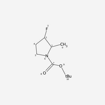 CC1C(F)CCN1C(=O)OC(C)(C)C